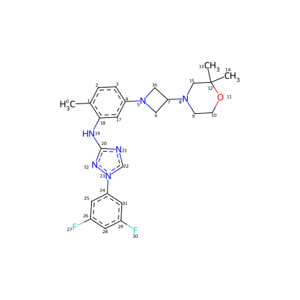 Cc1ccc(N2CC(N3CCOC(C)(C)C3)C2)cc1Nc1ncn(-c2cc(F)cc(F)c2)n1